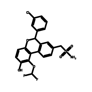 NS(=O)(=O)Cc1ccc2c(c1)C(c1cccc(Cl)c1)Oc1ccc(O)c(OC(F)F)c1-2